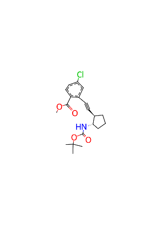 COC(=O)c1ccc(Cl)cc1C#C[C@H]1CCC[C@@H]1NC(=O)OC(C)(C)C